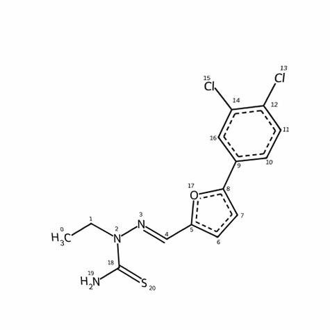 CCN(N=Cc1ccc(-c2ccc(Cl)c(Cl)c2)o1)C(N)=S